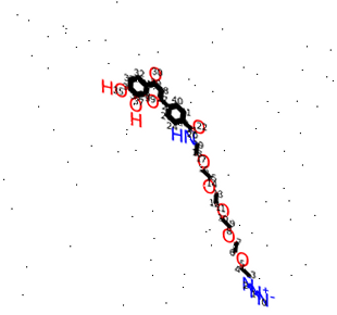 [N-]=[N+]=NCCOCCOCCOCCOCCOCCNC(=O)c1ccc(-c2cc(=O)c3ccc(O)c(O)c3o2)cc1